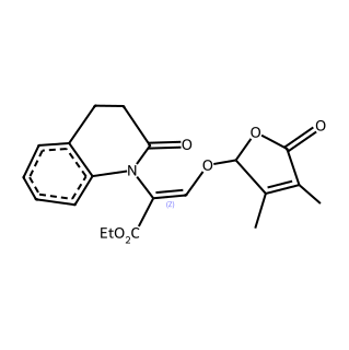 CCOC(=O)/C(=C/OC1OC(=O)C(C)=C1C)N1C(=O)CCc2ccccc21